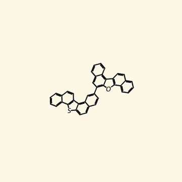 c1ccc2c(c1)ccc1c2oc2c(-c3ccc4ccc5sc6c7ccccc7ccc6c5c4c3)cc3ccccc3c21